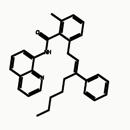 CCCCCC(=CCc1cccc(C)c1C(=O)Nc1cccc2cccnc12)c1ccccc1